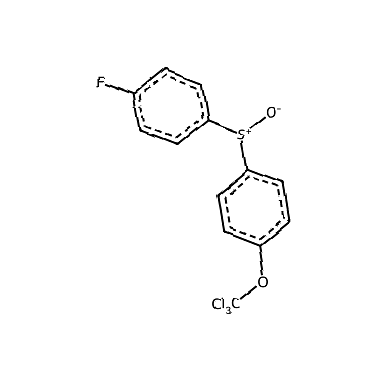 [O-][S+](c1ccc(F)cc1)c1ccc(OC(Cl)(Cl)Cl)cc1